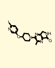 Cc1nc2c(nc1N1CCC(Oc3ccc(I)nc3)CC1)CNC2=O